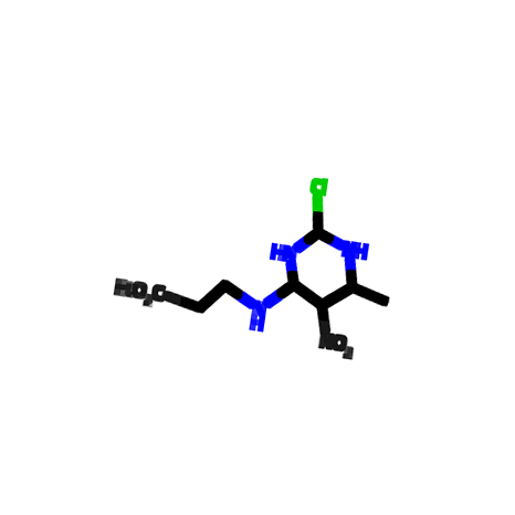 CCOC(=O)CCNC1NC(Cl)NC(C)C1[N+](=O)[O-]